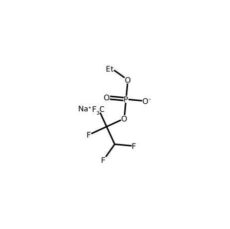 CCOP(=O)([O-])OC(F)(C(F)F)C(F)(F)F.[Na+]